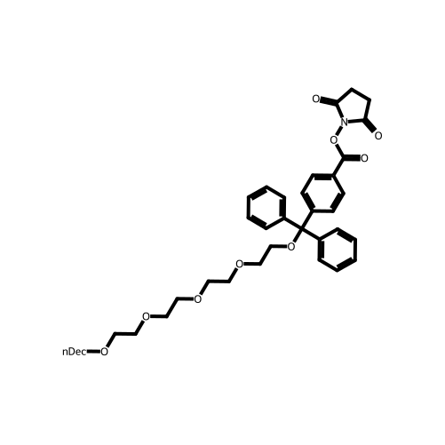 CCCCCCCCCCOCCOCCOCCOCCOC(c1ccccc1)(c1ccccc1)c1ccc(C(=O)ON2C(=O)CCC2=O)cc1